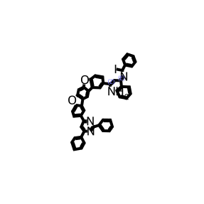 N/C(=C\C(=N/C(I)c1ccccc1)c1ccccc1)c1ccc2oc3cc4oc5ccc(-c6cc(-c7ccccc7)nc(-c7ccccc7)n6)cc5c4cc3c2c1